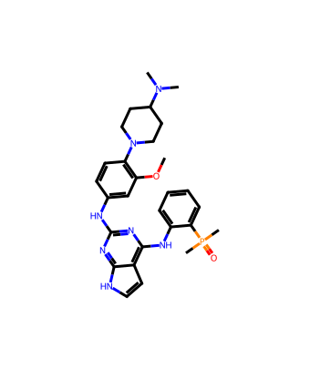 COc1cc(Nc2nc(Nc3ccccc3P(C)(C)=O)c3cc[nH]c3n2)ccc1N1CCC(N(C)C)CC1